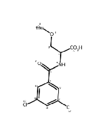 CC(C)(C)OCC(NC(=O)c1cc(Cl)cc(Cl)c1)C(=O)O